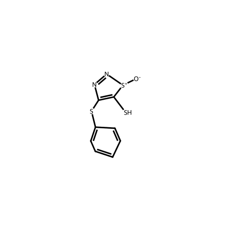 [O-][s+]1nnc(Sc2ccccc2)c1S